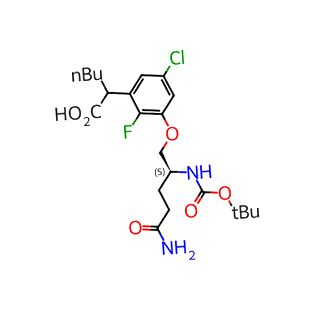 CCCCC(C(=O)O)c1cc(Cl)cc(OC[C@H](CCC(N)=O)NC(=O)OC(C)(C)C)c1F